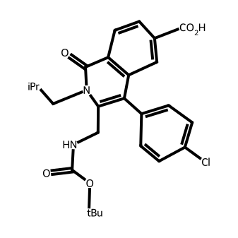 CC(C)Cn1c(CNC(=O)OC(C)(C)C)c(-c2ccc(Cl)cc2)c2cc(C(=O)O)ccc2c1=O